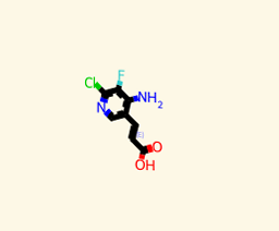 Nc1c(/C=C/C(=O)O)cnc(Cl)c1F